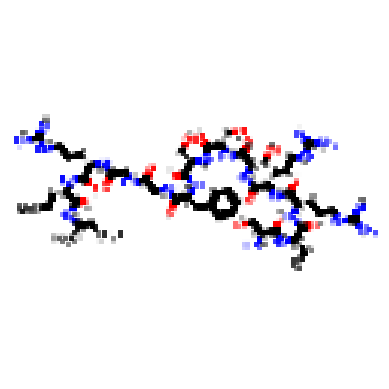 CSCC[C@H](NC(=O)[C@H](CCCNC(=N)N)NC(=O)CNC(=O)CNC(=O)[C@H](Cc1ccccc1)NC(=O)[C@H](CO)NC(=O)[C@H](CO)NC(=O)[C@H](CO)NC(=O)[C@H](CCCNC(=N)N)NC(=O)[C@H](CCCNC(=N)N)NC(=O)[C@H](CC(C)C)NC(=O)[C@@H](N)CO)C(=O)N[C@@H](CC(=O)O)C(=O)O